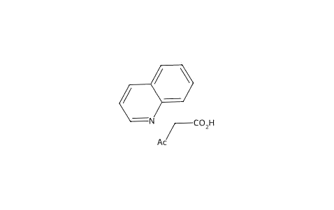 CC(=O)CC(=O)O.c1ccc2ncccc2c1